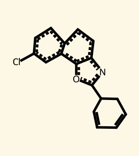 Clc1ccc2ccc3nc(C4C=CC=CC4)oc3c2c1